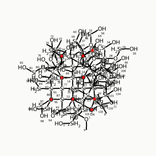 CO[Si]([SiH3])([SiH2]O)[Si](O[Si](C)(C)O)(O[Si]([Si](O[Si](C)(C)O[Si](C)(C)C)(O[Si](O[Si](O[SiH2]O)([SiH2]O)[SiH2]O)([Si](O[SiH2]O)([SiH2]O)[SiH2]O)[Si](O[SiH2]O)([SiH2]O)[SiH2]O)[Si](O[Si](O[SiH2]O)([SiH2]O)[SiH2]O)([Si](O[SiH2]O)([SiH2]O)[SiH2]O)[Si](O[SiH2]O)([SiH2]O)[SiH2]O)([Si](O[Si](O[SiH2]O)([SiH2]O)[SiH2]O)([Si](O[SiH2]O)([SiH2]O)[SiH2]O)[Si](O[SiH2]O)([SiH2]O)[SiH2]O)[Si](O[Si](O[SiH2]O)([SiH2]O)[SiH2]O)([Si](O[SiH2]O)([SiH2]O)[SiH2]O)[Si](O[SiH2]O)([SiH2]O)[SiH2]O)[Si](O[Si](C)(C)O)([SiH2]O)[Si](C)(C)O